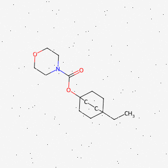 CCC12CCC(OC(=O)N3CCOCC3)(CC1)CC2